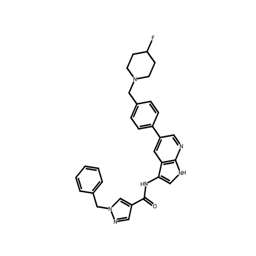 O=C(Nc1c[nH]c2ncc(-c3ccc(CN4CCC(F)CC4)cc3)cc12)c1cnn(Cc2ccccc2)c1